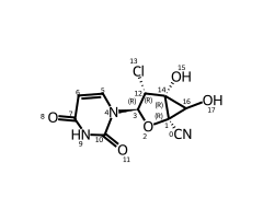 N#C[C@]12O[C@@H](n3ccc(=O)[nH]c3=O)[C@H](Cl)[C@@]1(O)C2O